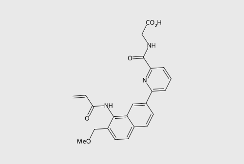 C=CC(=O)Nc1c(COC)ccc2ccc(-c3cccc(C(=O)NCC(=O)O)n3)cc12